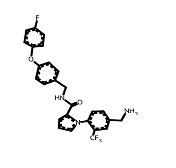 NCc1ccc(-n2cccc2C(=O)NCc2ccc(Oc3ccc(F)cc3)cc2)c(C(F)(F)F)c1